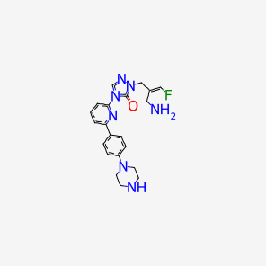 NC/C(=C\F)Cn1ncn(-c2cccc(-c3ccc(N4CCNCC4)cc3)n2)c1=O